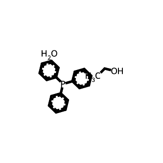 CCO.O.c1ccc(P(c2ccccc2)c2ccccc2)cc1